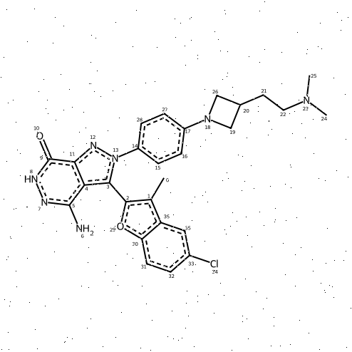 Cc1c(-c2c3c(N)n[nH]c(=O)c3nn2-c2ccc(N3CC(CCN(C)C)C3)cc2)oc2ccc(Cl)cc12